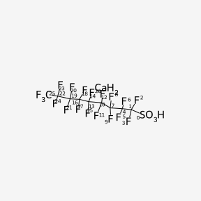 O=S(=O)(O)C(F)(F)C(F)(F)C(F)(F)C(F)(F)C(F)(F)C(F)(F)C(F)(F)C(F)(F)C(F)(F)F.[CaH2]